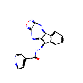 O=C(N/N=C1/c2ccccc2-c2nc3nonc3nc21)c1ccncc1